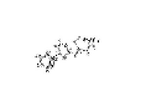 C(=C1CCNCC1)c1cccc(-c2ccccn2)c1